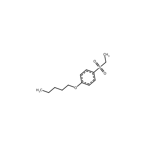 CCCCCOc1ccc(S(=O)(=O)CC)cc1